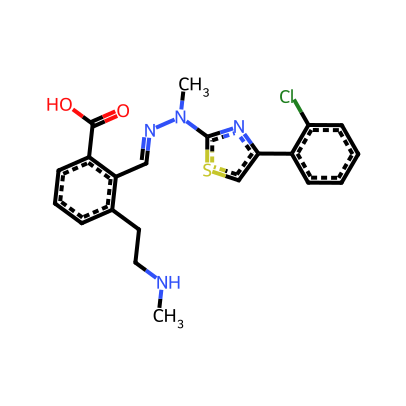 CNCCc1cccc(C(=O)O)c1/C=N/N(C)c1nc(-c2ccccc2Cl)cs1